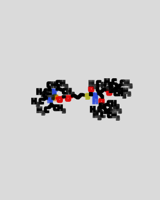 CCC(CO[Si](C)(C)C(C)(C)C)(CO[Si](C)(C)C(C)(C)C)NC(=O)SCCCOCOP(N(C(C)C)C(C)C)N(C(C)C)C(C)C